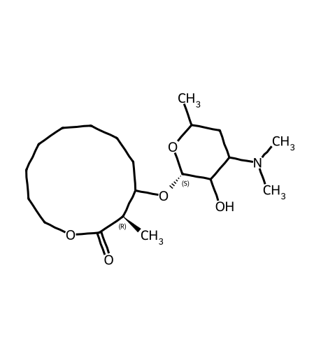 CC1CC(N(C)C)C(O)[C@H](OC2CCCCCCCCOC(=O)[C@@H]2C)O1